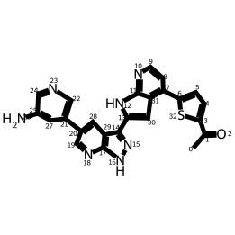 CC(=O)c1ccc(-c2ccnc3[nH]c(-c4n[nH]c5ncc(-c6cncc(N)c6)cc45)cc23)s1